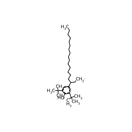 [CH2]CC(CCCCCCCCCCCCCCC)c1cc(C(C)(C)C)c(O)c(C(C)(C)C)c1